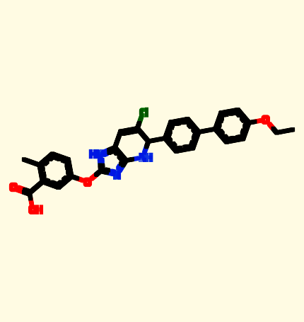 CCOc1ccc(-c2ccc(C3Nc4nc(Oc5ccc(C)c(C(=O)O)c5)[nH]c4C=C3Cl)cc2)cc1